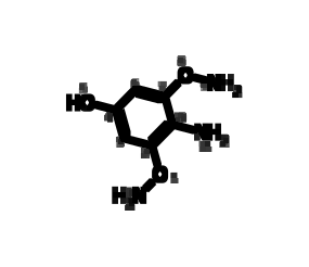 NOc1cc(O)cc(ON)c1N